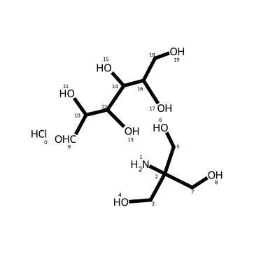 Cl.NC(CO)(CO)CO.O=CC(O)C(O)C(O)C(O)CO